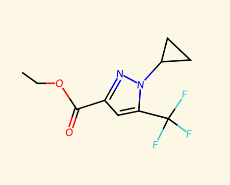 CCOC(=O)c1cc(C(F)(F)F)n(C2CC2)n1